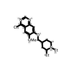 CCC1CC(COc2cc3ncnc(Cl)c3cc2OC)CCN1CC